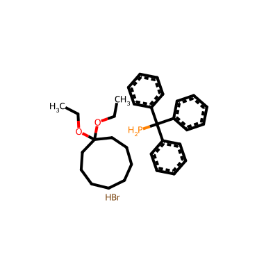 Br.CCOC1(OCC)CCCCCCCC1.PC(c1ccccc1)(c1ccccc1)c1ccccc1